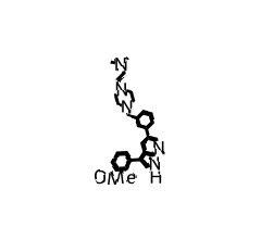 COc1ccccc1-c1c[nH]c2ncc(-c3cccc(CN4CCN(CCN(C)C)CC4)c3)cc12